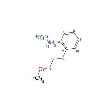 COCCCc1ccccc1.Cl.N